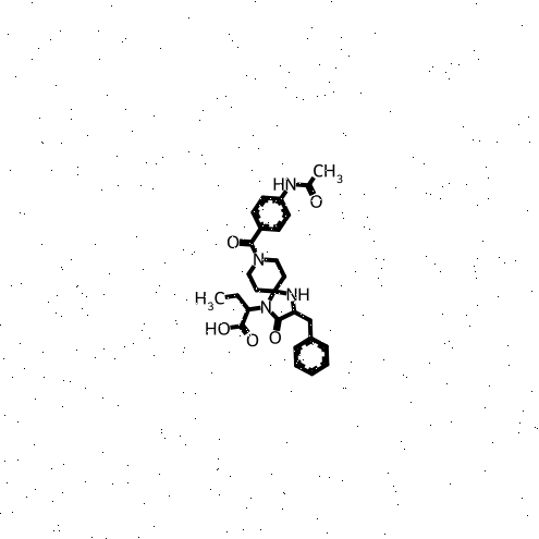 CCC(C(=O)O)N1C(=O)C(Cc2ccccc2)NC12CCN(C(=O)c1ccc(NC(C)=O)cc1)CC2